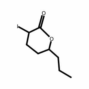 CCCC1CCC(I)C(=O)O1